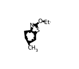 C[CH]Oc1nc2ccc(C)cc2s1